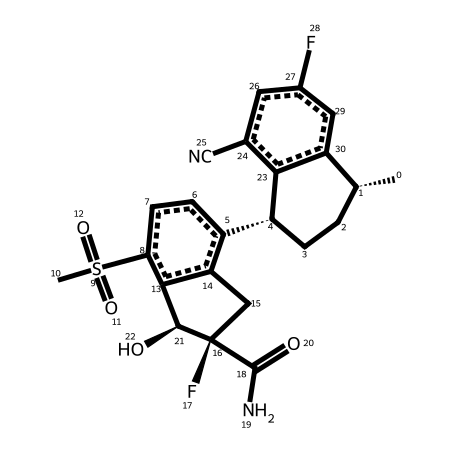 C[C@@H]1CC[C@H](c2ccc(S(C)(=O)=O)c3c2C[C@](F)(C(N)=O)[C@H]3O)c2c(C#N)cc(F)cc21